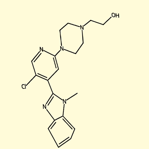 Cn1c(-c2cc(N3CCN(CCO)CC3)ncc2Cl)nc2ccccc21